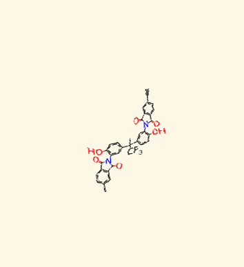 C#Cc1ccc2c(c1)C(=O)N(c1cc(C(C)(c3ccc(O)c(N4C(=O)c5ccc(C)cc5C4=O)c3)C(F)(F)F)ccc1O)C2=O